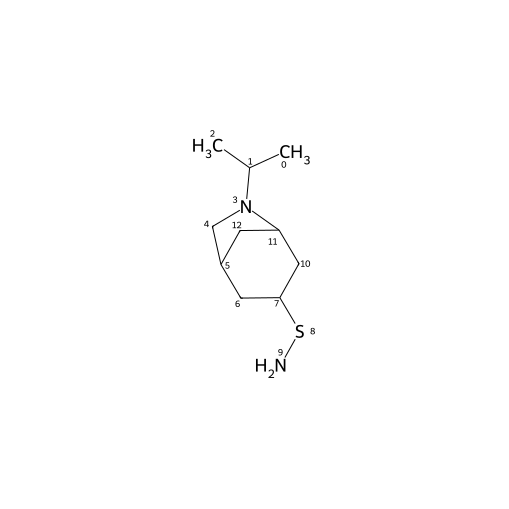 CC(C)N1CC2CC(SN)CC1C2